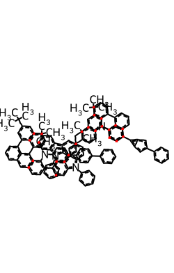 CC(C)(C)c1cc(-c2cccc3cccc(-c4ccccc4N(c4ccc(-c5ccc(-c6ccccc6)cc5)cc4)c4ccccc4-c4ccc5c(c4)c4cc(CC(C)(C)c6cc(-c7cccc8cccc(-c9ccccc9N(c9ccc(-c%10ccc%11c(c%10)c%10ccccc%10n%11-c%10ccccc%10)cc9)c9ccc(-c%10c%11cc(-c%12ccccc%12)cc%10-%11)cc9)c78)cc(C(C)(C)C)c6)ccc4n5-c4ccccc4)c23)cc(C(C)(C)C)c1